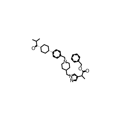 CC(C(=O)OCc1ccccc1)c1cnn(CC2CCN(Cc3ccc([C@H]4CC[C@@H](C(=O)C(C)C)CC4)cc3)CC2)c1